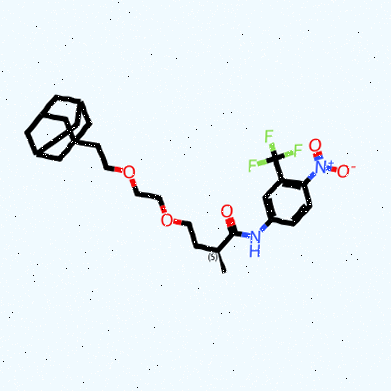 C[C@@H](CCOCCOCCC12CC3CC(CC(C3)C1)C2)C(=O)Nc1ccc([N+](=O)[O-])c(C(F)(F)F)c1